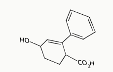 O=C(O)C1CCC(O)C=C1c1ccccc1